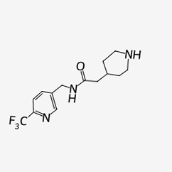 O=C(CC1CCNCC1)NCc1ccc(C(F)(F)F)nc1